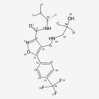 CC(C)[C@H](C)NC(=O)c1noc(-c2ccc(C(F)(F)F)cc2)c1CNCC(C)(C)O